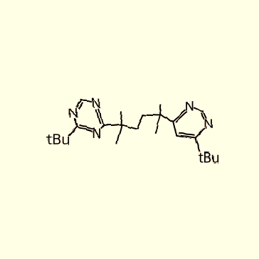 CC(C)(C)c1cc(C(C)(C)CCC(C)(C)c2ncnc(C(C)(C)C)n2)ncn1